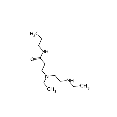 CCCNC(=O)CCN(CC)CCNCC